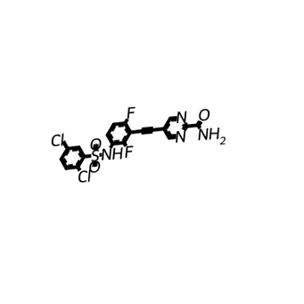 NC(=O)c1ncc(C#Cc2c(F)ccc(NS(=O)(=O)c3cc(Cl)ccc3Cl)c2F)cn1